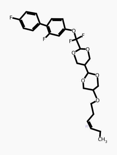 CC/C=C\CCOC1COC(C2COC(C(F)(F)Oc3ccc(-c4ccc(F)cc4)c(F)c3)OC2)OC1